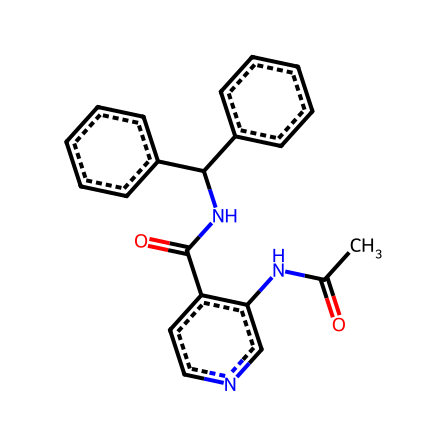 CC(=O)Nc1cnccc1C(=O)NC(c1ccccc1)c1ccccc1